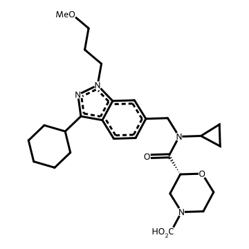 COCCCn1nc(C2CCCCC2)c2ccc(CN(C(=O)[C@H]3CN(C(=O)O)CCO3)C3CC3)cc21